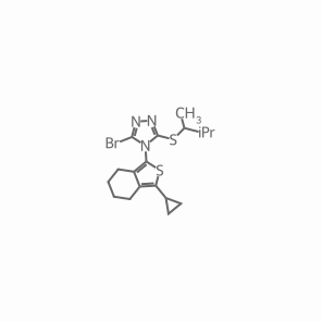 CC(C)C(C)Sc1nnc(Br)n1-c1sc(C2CC2)c2c1CCCC2